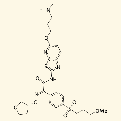 COCCCS(=O)(=O)c1ccc(/C(=N\O[C@@H]2CCOC2)C(=O)Nc2nc3ccc(OCCCN(C)C)nc3s2)cc1